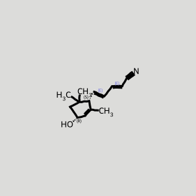 CC1=C[C@H](O)CC(C)(C)[C@@H]1/C=C/C=C/C#N